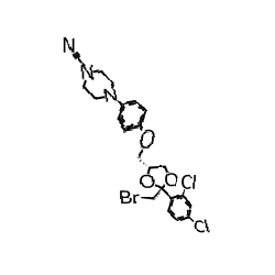 N#CN1CCN(c2ccc(OC[C@@H]3CO[C@](CBr)(c4ccc(Cl)cc4Cl)O3)cc2)CC1